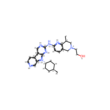 CC1CN(CCO)Cc2ccc(Nc3ncc4c5ccncc5n([C@H]5CC[C@H](C)CC5)c4n3)nc21